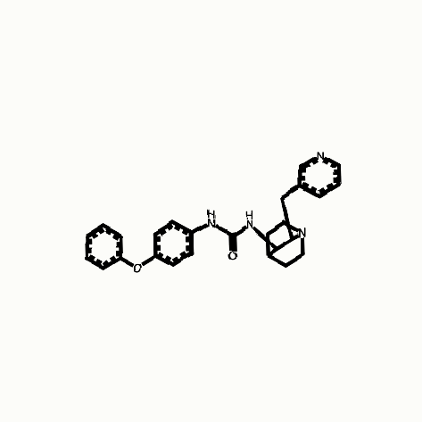 O=C(Nc1ccc(Oc2ccccc2)cc1)NC1C2CCN(CC2)C1Cc1cccnc1